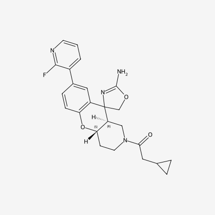 NC1=NC2(CO1)c1cc(-c3cccnc3F)ccc1O[C@H]1CCN(C(=O)CC3CC3)C[C@@H]12